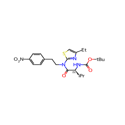 CCc1csc(N(CCc2ccc([N+](=O)[O-])cc2)C(=O)[C@@H](NC(=O)OC(C)(C)C)C(C)C)n1